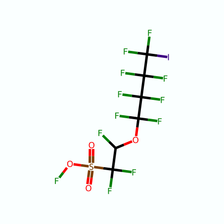 O=S(=O)(OF)C(F)(F)C(F)OC(F)(F)C(F)(F)C(F)(F)C(F)(F)I